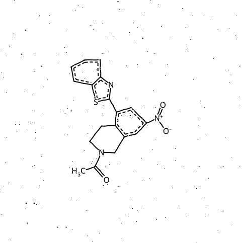 CC(=O)N1CCc2c(cc([N+](=O)[O-])cc2-c2nc3ccccc3s2)C1